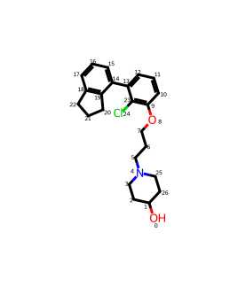 OC1CCN(CCCOc2cccc(-c3cccc4c3CCC4)c2Cl)CC1